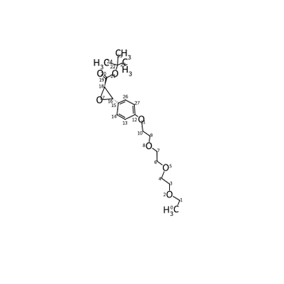 CCOCCOCCOCCOc1ccc([C@@H]2O[C@H]2C(=O)OC(C)(C)C)cc1